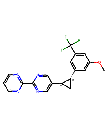 COc1cc([C@@H]2C[C@H]2c2cnc(-c3ncccn3)nc2)cc(C(F)(F)F)c1